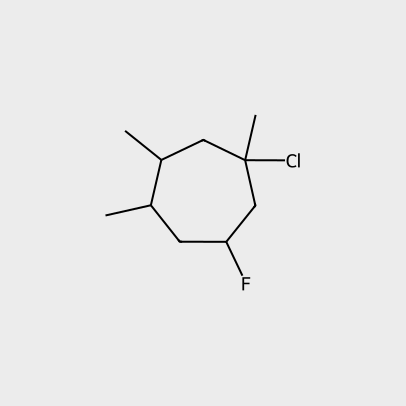 CC1CC(F)CC(C)(Cl)CC1C